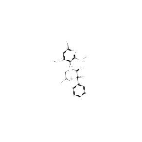 CSc1cc(C)nc(SC)c1N(CC(C)C)C(=O)C(F)(F)c1ccccc1